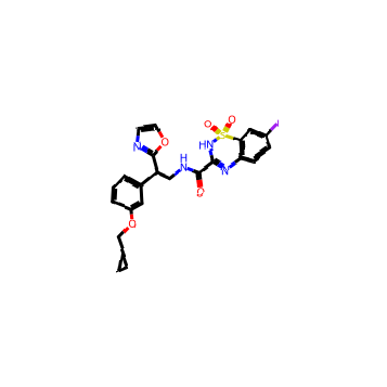 O=C(NCC(c1cccc(OCC2CC2)c1)c1ncco1)C1=Nc2ccc(I)cc2S(=O)(=O)N1